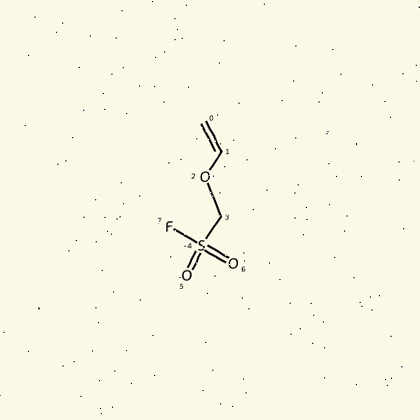 C=COCS(=O)(=O)F